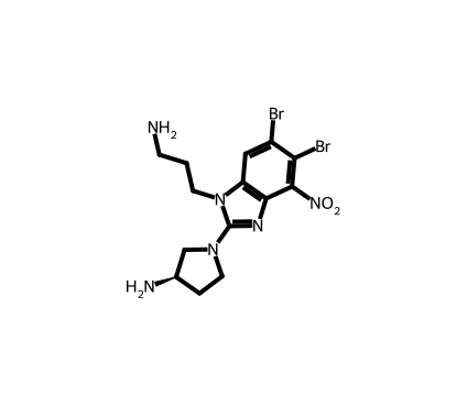 NCCCn1c(N2CC[C@@H](N)C2)nc2c([N+](=O)[O-])c(Br)c(Br)cc21